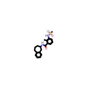 Cc1c(NS(C)(=O)=O)cccc1C(=O)NC1CCCc2ccccc2C1